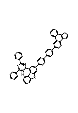 C1=Cc2c(c3ccccc3c3cc(-c4ccc(-c5ccc(-c6cc(C7N=C(c8ccccc8)N=C(c8ccccc8)N7)c7c(c6)sc6ccccc67)cc5)cc4)ccc23)C1